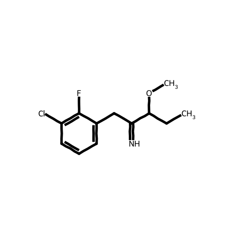 CCC(OC)C(=N)Cc1cccc(Cl)c1F